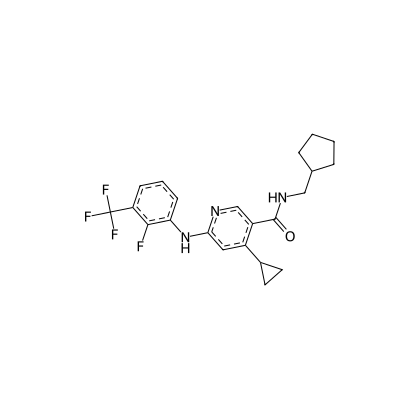 O=C(NCC1CCCC1)c1cnc(Nc2cccc(C(F)(F)F)c2F)cc1C1CC1